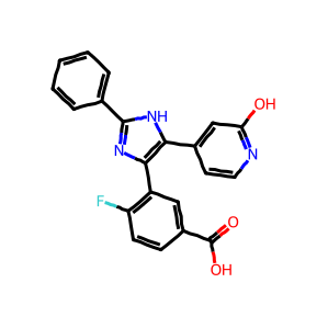 O=C(O)c1ccc(F)c(-c2nc(-c3ccccc3)[nH]c2-c2ccnc(O)c2)c1